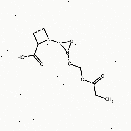 CCC(=O)OCOn1on1N1CCC1C(=O)O